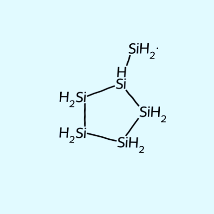 [SiH2][SiH]1[SiH2][SiH2][SiH2][SiH2]1